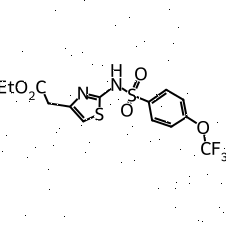 CCOC(=O)Cc1csc(NS(=O)(=O)c2ccc(OC(F)(F)F)cc2)n1